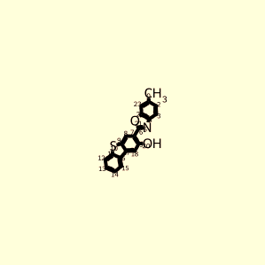 Cc1ccc2nc(-c3cc4sc5ccccc5c4cc3O)oc2c1